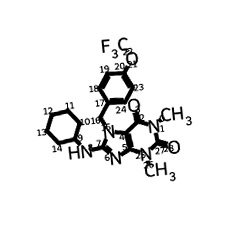 Cn1c(=O)c2c(nc(NC3CCCCC3)n2Cc2ccc(OC(F)(F)F)cc2)n(C)c1=O